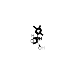 Cc1cc(C)c([C@@H]2O[C@@]3(CO)CO[C@@H]2[C@@H]3O)cc1C